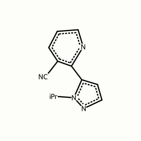 CC(C)n1nccc1-c1ncccc1C#N